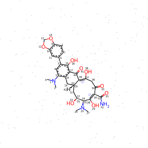 CN(C)c1cc(-c2ccc3c(c2)OCO3)c(O)c2c1C[C@H]1C[C@H](O)[C@H](N(C)C)/C(O)=C(/C(N)=O)C(=O)C/C(O)=C\1C2=O